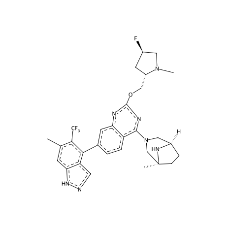 Cc1cc2[nH]ncc2c(-c2ccc3c(N4C[C@H]5CC[C@@](C)(C4)N5)nc(OC[C@@H]4C[C@@H](F)CN4C)nc3c2)c1C(F)(F)F